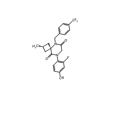 C[C@H]1C[C@]2(C1)C(=O)N(c1ccc(C#N)cc1F)CC(=O)N2Cc1ccc(C(F)(F)F)cc1